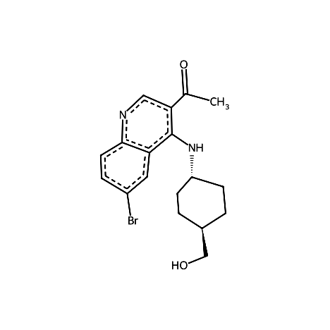 CC(=O)c1cnc2ccc(Br)cc2c1N[C@H]1CC[C@H](CO)CC1